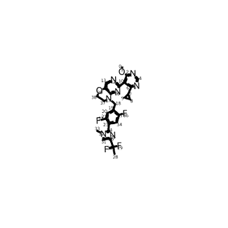 COc1ncnc(C2CC2)c1-c1ncc2c(n1)N(Cc1cc(F)c(-c3nc(C(C)(F)F)cn3C)cc1F)CCO2